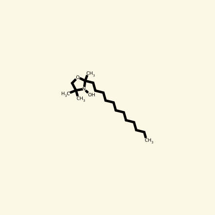 CCCCCCCCCCCCC1(C)OCC(C)(C)N1O